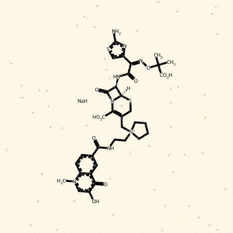 Cn1cc(O)c(=O)c2cc(C(=O)NCC[N+]3(CC4=C(C(=O)O)N5C(=O)[C@@H](NC(=O)/C(=N\OC(C)(C)C(=O)O)c6csc(N)n6)[C@H]5SC4)CCCC3)ccc21.[NaH]